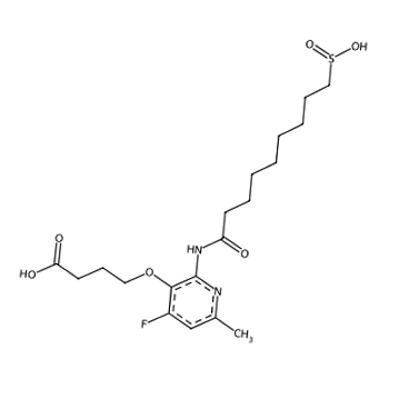 Cc1cc(F)c(OCCCC(=O)O)c(NC(=O)CCCCCCCCS(=O)O)n1